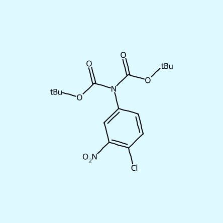 CC(C)(C)OC(=O)N(C(=O)OC(C)(C)C)c1ccc(Cl)c([N+](=O)[O-])c1